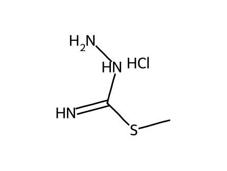 CSC(=N)NN.Cl